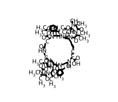 CC(C)[C@H](NC(=O)[C@H](C)N(C)C(=O)OC(C)(C)C)C(=O)N[C@H]1C/C=C/CC[C@@H](C(=O)O)NC(=O)[C@H](Cc2ccccc2)NC(=O)[C@@H]2CN(CCNC(=O)CC[C@@H](C(=O)OC(C)(C)C)NC(=O)[C@H](Cc3ccccc3)NC1=O)CCN2C(=O)[C@@H](NC(=O)[C@H](C)N(C)C(=O)OC(C)(C)C)C(C)C